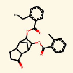 CCC(C)Cc1ccccc1C(=O)OC1C2CC(C1OC(=O)c1ccccc1C)C1C(=O)CCC21